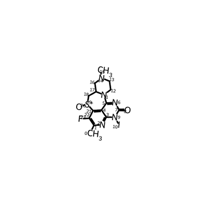 Cc1nc2c3c(nc(=O)n2I)N2CCN(C)CC2C[S+]([O-])c3c1F